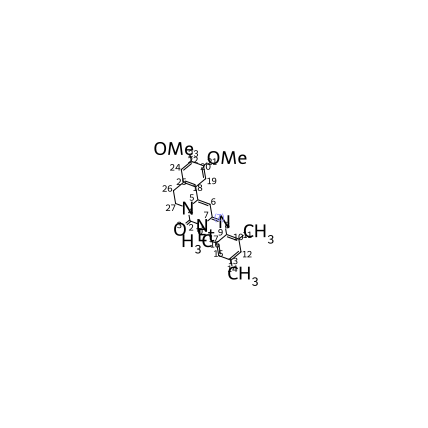 CCn1c(=O)n2c(c/c1=N/c1c(C)cc(C)cc1C)-c1cc(OC)c(OC)cc1CC2